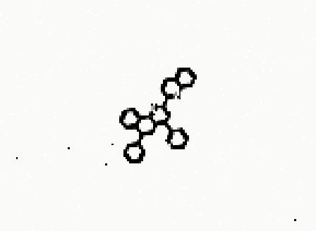 c1ccc(-c2cc3c(-c4ccccc4)cc(-c4ccc5ccccc5n4)nc3c3ccccc23)cc1